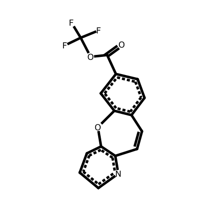 O=C(OC(F)(F)F)c1ccc2c(c1)Oc1cccnc1C=C2